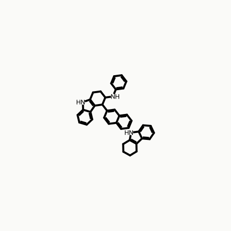 c1ccc(NC2CCc3[nH]c4ccccc4c3C2c2ccc3ccccc3c2)cc1.c1ccc2c3c([nH]c2c1)CCCC3